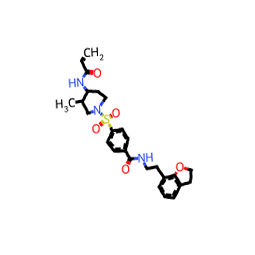 C=CC(=O)NC1CCN(S(=O)(=O)c2ccc(C(=O)NCCc3cccc4c3OCC4)cc2)CC1C